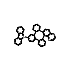 c1ccc2c(c1)-c1cc(-n3c4ccccc4c4ccccc43)ccc1-c1ccccc1-c1c-2ccc2nccnc12